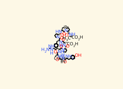 CC(C)C[C@H](NC(=O)[C@@H]1CCCN1C(=O)[C@H](Cc1ccccc1)NC(=O)[C@H](CC(=O)O)NC(=O)[C@@H]1CCCN1C(=O)[C@H](CCCNC(=N)N)NC(=O)[C@H](CC(=O)O)NC(=O)[C@@H](NC(=O)[C@@H](N)Cc1ccc(O)cc1)C(C)C)C(=O)N1CCC[C@H]1C(=O)N[C@@H](C)C(=O)O